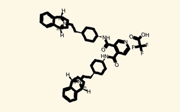 O=C(N[C@H]1CC[C@H](CCN2[C@@H]3CC[C@H]2c2ccccc23)CC1)c1ccncc1C(=O)N[C@H]1CC[C@H](CCN2[C@@H]3CC[C@H]2c2ccccc23)CC1.O=C(O)C(F)(F)F